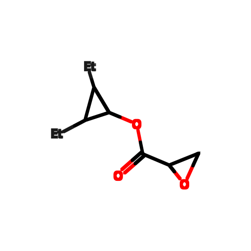 CCC1C(CC)C1OC(=O)C1CO1